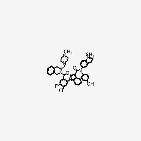 CN1CCN(C[C@@H]2Cc3ccccc3CN2C(=O)c2cc(F)c(Cl)cc2-n2cc(C(=O)N(c3ccc(O)cc3)c3ccc4c(ccn4C)c3)c3ccccc32)CC1